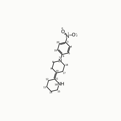 O=[N+]([O-])c1ccc(N2CCC(=C3CCCCN3)CC2)cc1